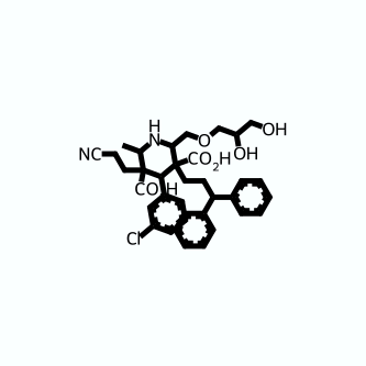 CC1NC(COCC(O)CO)C(CCC(c2ccccc2)c2ccccc2)(C(=O)O)C(c2cccc(Cl)c2)C1(CCC#N)C(=O)O